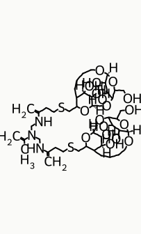 C=C(CCSCC1O[C@@H]2OC3C(CO)O[C@H](OCCCCC1[C@H](O)C2O)C(O)[C@H]3O)NCN(CNC(=C)CCSCC1O[C@@H]2OC3C(CO)O[C@H](OCCCCC1[C@H](O)C2O)C(O)[C@H]3O)C(=C)C